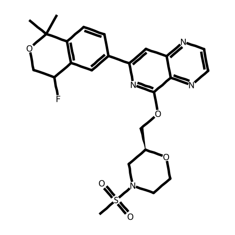 CC1(C)OCC(F)c2cc(-c3cc4nccnc4c(OC[C@@H]4CN(S(C)(=O)=O)CCO4)n3)ccc21